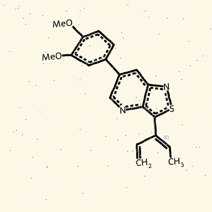 C=C/C(=C\C)c1snc2cc(-c3ccc(OC)c(OC)c3)cnc12